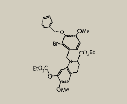 CCOC(=O)Oc1cc2c(cc1OC)CC[C@H](C(=O)OCC)N2Cc1ccc(OC)c(OCc2ccccc2)c1Br